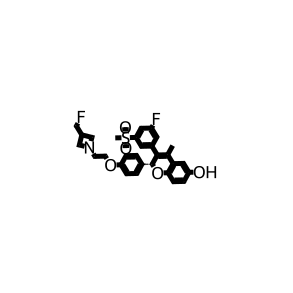 CC1=C(c2cc(F)cc(S(C)(=O)=O)c2)[C@@H](c2ccc(OCCN3CC(CF)C3)cc2)Oc2ccc(O)cc21